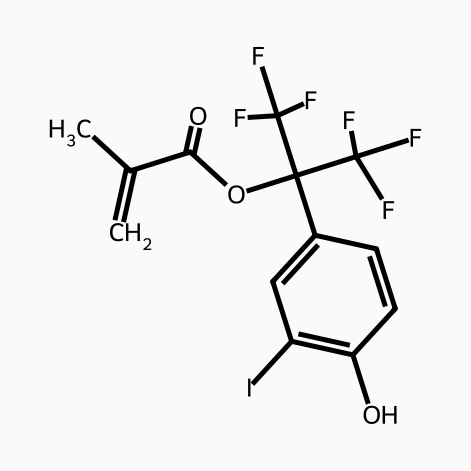 C=C(C)C(=O)OC(c1ccc(O)c(I)c1)(C(F)(F)F)C(F)(F)F